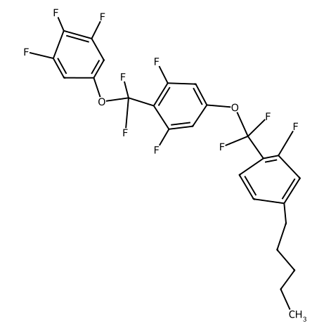 CCCCCc1ccc(C(F)(F)Oc2cc(F)c(C(F)(F)Oc3cc(F)c(F)c(F)c3)c(F)c2)c(F)c1